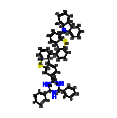 c1ccc(C2NC(c3ccccc3)NC(c3ccc4c(c3)sc3cccc(-c5cccc6sc7c(-n8c9ccccc9c9ccccc98)cccc7c56)c34)N2)cc1